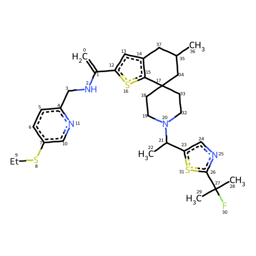 C=C(NCc1ccc(SCC)cn1)c1cc2c(s1)C1(CCN(C(C)c3cnc(C(C)(C)F)s3)CC1)CC(C)C2